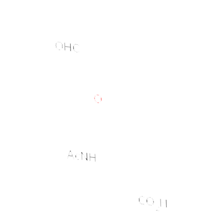 CC(=O)Nc1c(OCC=O)cccc1C(=O)O